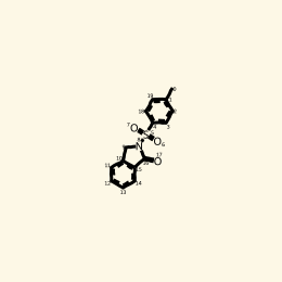 Cc1ccc(S(=O)(=O)N2Cc3ccccc3C2=O)cc1